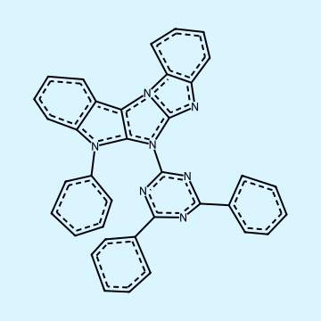 c1ccc(-c2nc(-c3ccccc3)nc(-n3c4c(c5ccccc5n4-c4ccccc4)n4c5ccccc5nc34)n2)cc1